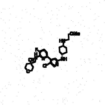 COCCN[C@H]1CC[C@H](Nc2cc(-c3ccc(F)c(NCC4(C#N)CCOCC4)n3)c(Cl)cn2)CC1